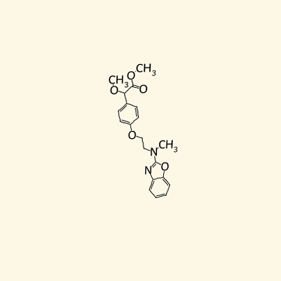 COC(=O)C(OC)c1ccc(OCCN(C)c2nc3ccccc3o2)cc1